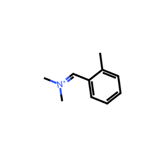 Cc1ccccc1C=[N+](C)C